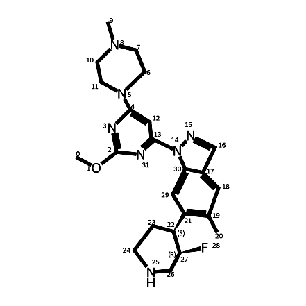 COc1nc(N2CCN(C)CC2)cc(-n2ncc3cc(C)c([C@@H]4CCNC[C@@H]4F)cc32)n1